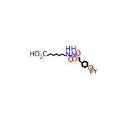 CC(C)Oc1ccc(C=CS(=O)(=O)NC(=O)NCCCCCCCC(=O)O)cc1